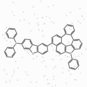 c1ccc(N(c2ccccc2)c2ccc3c(c2)oc2ccc(-c4ccc5c6c4ccc4c6c6c(cccc6n4-c4ccccc4)-c4ccccc4-5)cc23)cc1